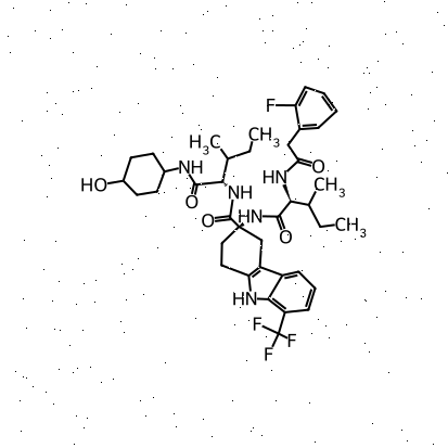 CCC(C)[C@H](NC(=O)Cc1ccccc1F)C(=O)N[C@]1(C(=O)N[C@H](C(=O)NC2CCC(O)CC2)C(C)CC)CCc2[nH]c3c(C(F)(F)F)cccc3c2C1